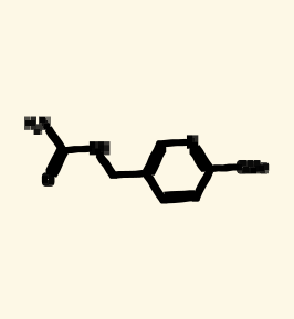 COc1ccc(CNC(N)=O)cn1